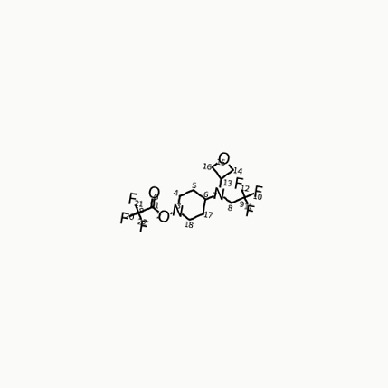 O=C(ON1CCC(N(CC(F)(F)F)C2COC2)CC1)C(F)(F)F